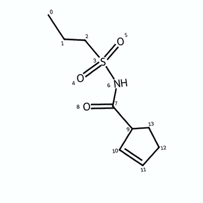 CCCS(=O)(=O)NC(=O)C1C=CCC1